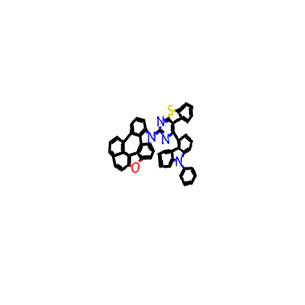 c1ccc(-n2c3ccccc3c3c(-c4nc(-n5c6cccc7c6c6c8c(ccc65)oc5ccc6cccc-7c6c58)nc5sc6ccccc6c45)cccc32)cc1